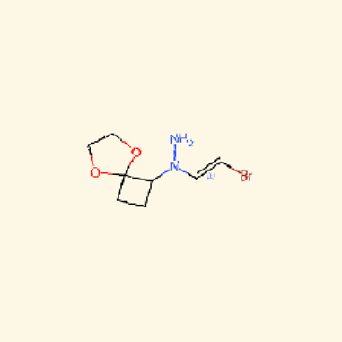 NN(/C=C/Br)C1CCC12OCCO2